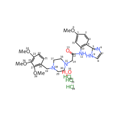 COc1ccc(-c2ncc[nH]2)c(NC(=O)CN2CCN(Cc3ccc(OC)c(OC)c3OC)CC2)c1.Cl.Cl.Cl.O